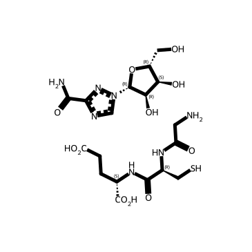 NC(=O)c1ncn([C@@H]2O[C@H](CO)[C@@H](O)[C@H]2O)n1.NCC(=O)N[C@@H](CS)C(=O)N[C@@H](CCC(=O)O)C(=O)O